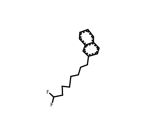 F[C](F)CCCCCCCc1ccc2ccccc2c1